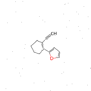 C#CC1=C(c2ccco2)CCCC1